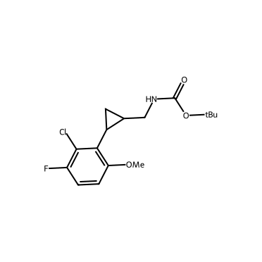 COc1ccc(F)c(Cl)c1C1CC1CNC(=O)OC(C)(C)C